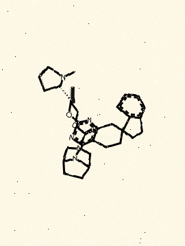 C=CCOC(=O)N1CC2CCC(C1)N2c1nc(OC[C@@H]2CCCN2C)nc2c1CCC1(CCc3ccccc31)C2